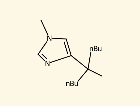 CCCCC(C)(CCCC)c1cn(C)cn1